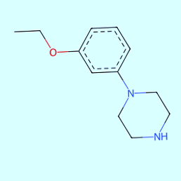 CCOc1cccc(N2CCNCC2)c1